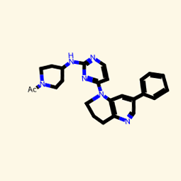 CC(=O)N1CCC(Nc2nccc(N3CCCc4ncc(-c5ccccc5)cc43)n2)CC1